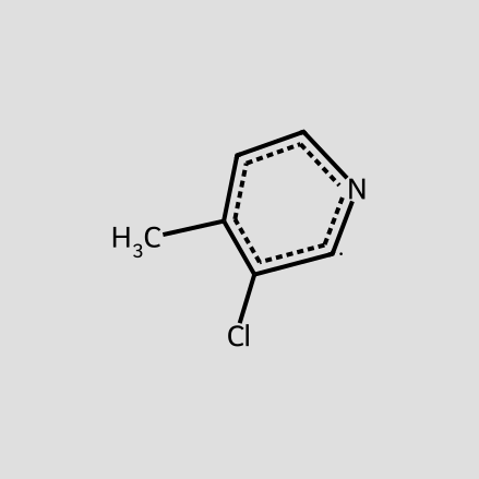 Cc1ccn[c]c1Cl